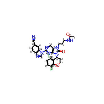 CC(=O)NCCCn1c(=O)n(C2CCOc3c(F)ccc(F)c32)c2nc(-n3cnc4ccc(C#N)cc43)ncc21